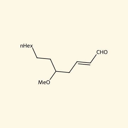 CCCCCCCCC(C/C=C/C=O)OC